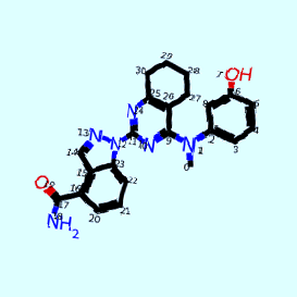 CN(c1cccc(O)c1)c1nc(-n2ncc3c(C(N)=O)cccc32)nc2c1CCCC2